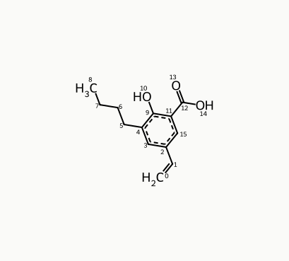 C=Cc1cc(CCCC)c(O)c(C(=O)O)c1